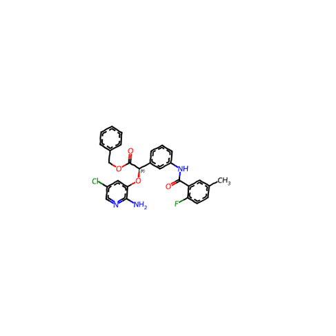 Cc1ccc(F)c(C(=O)Nc2cccc([C@@H](Oc3cc(Cl)cnc3N)C(=O)OCc3ccccc3)c2)c1